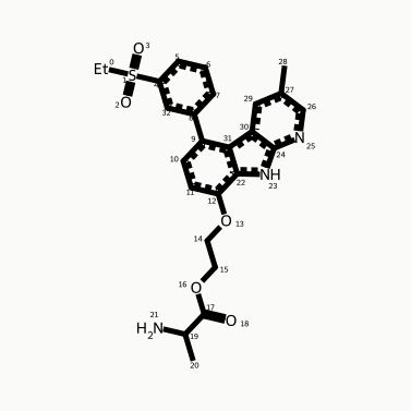 CCS(=O)(=O)c1cccc(-c2ccc(OCCOC(=O)C(C)N)c3[nH]c4ncc(C)cc4c23)c1